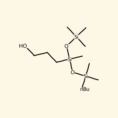 CCCC[Si](C)(C)O[Si](C)(CCCO)O[Si](C)(C)C